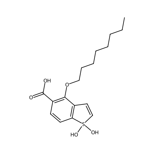 CCCCCCCCOc1c(C(=O)O)ccc2c1C=CS2(O)O